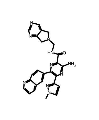 Cn1ccc(-c2nc(N)c(C(=O)NCN3Cc4cncnc4C3)nc2-c2ccc3ncccc3c2)n1